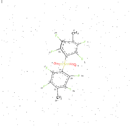 Cc1c(F)c(F)c(S(=O)(=O)c2c(F)c(F)c(C)c(F)c2F)c(F)c1F